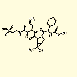 C=CCC(NC(=O)[C@@H]1C2C(CN1C(=O)C(NC(=O)OC(C)(C)C)C1CCCCC1)C2(C)C)C(=O)C(=O)NCCS(=O)(=O)C(C)(C)C